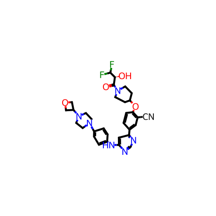 N#Cc1cc(-c2cc(Nc3ccc(N4CCN(C5COC5)CC4)cc3)ncn2)ccc1OC1CCN(C(=O)[C@@H](O)C(F)F)CC1